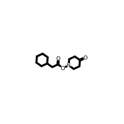 O=C1CCN(OC(=O)CC2CCCCC2)CC1